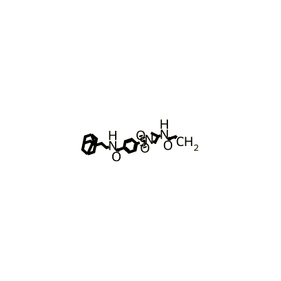 C=CC(=O)NC1CN(S(=O)(=O)c2ccc(C(=O)NCCC34CC5CC(CC(C5)C3)C4)cc2)C1